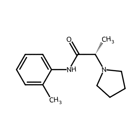 Cc1ccccc1NC(=O)[C@H](C)N1CCCC1